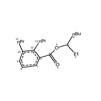 CCCCC(CC)OC(=O)c1cccc(CCC)c1CCC